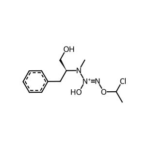 CC(Cl)O/N=[N+](\O)N(C)[C@H](CO)Cc1ccccc1